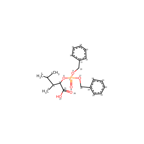 CC(C)C(C)C(OP(=O)(OCc1ccccc1)OCc1ccccc1)C(=O)O